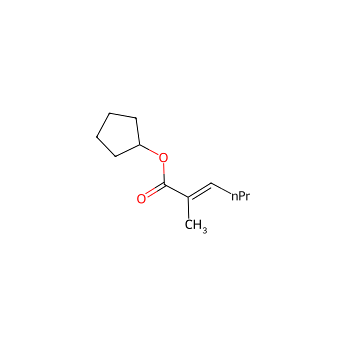 CCCC=C(C)C(=O)OC1CCCC1